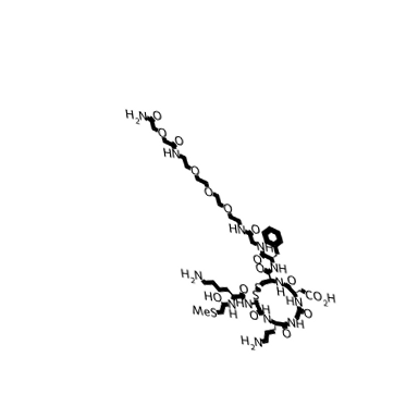 CSC[C@H](O)N[C@@H](CCCCN)C(=O)N[C@H]1SSC[C@@H](C(=O)N[C@@H](Cc2ccccc2)C(=O)NCC(=O)NCCOCCOCCOCCNC(=O)COCC(N)=O)NC(=O)[C@H](CC(=O)O)NC(=O)CNC(=O)[C@H](CCCN)NC1=O